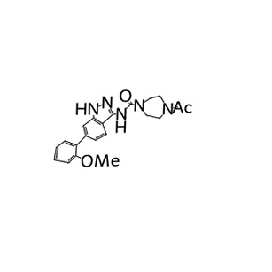 COc1ccccc1-c1ccc2c(NC(=O)N3CCN(C(C)=O)CC3)n[nH]c2c1